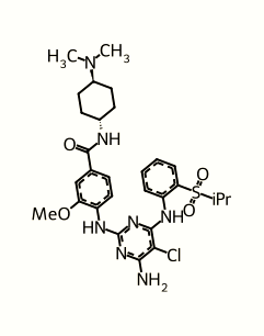 COc1cc(C(=O)N[C@H]2CC[C@H](N(C)C)CC2)ccc1Nc1nc(N)c(Cl)c(Nc2ccccc2S(=O)(=O)C(C)C)n1